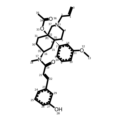 C=CCN1CC[C@@]2(c3cccc(OC)c3)C[C@@H](N(C)C(=O)C=Cc3cccc(O)c3)CC[C@]2(OC(C)=O)C1